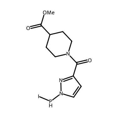 COC(=O)C1CCN(C(=O)c2ccn(PI)n2)CC1